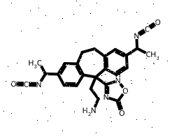 CC(N=C=O)c1ccc2c(c1)CCc1cc(C(C)N=C=O)ccc1C2(CCN)c1nc(=O)o[nH]1